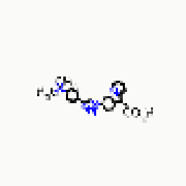 CN(C)c1ccc(-c2cn(C3CCc4c(CC(=O)O)c5ccccn5c4C3)nn2)cc1